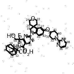 O=C(NC1(C(=O)O)C2CC3CC(C2)CC1C3)c1cnc(N2CC3(CCOCC3)c3cc(OC4CCN(c5ncccn5)CC4)ccc32)nc1C(F)(F)CO